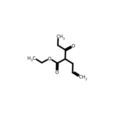 C=CCC(C(=O)CC)C(=O)OCC